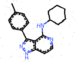 Cc1ccc(-c2n[nH]c3ccnc(NC4CCCCC4)c23)cc1